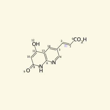 O=C(O)/C=C/c1cnc2[nH]c(=O)cc(O)c2c1